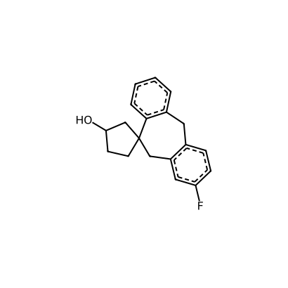 OC1CCC2(Cc3cc(F)ccc3Cc3ccccc32)C1